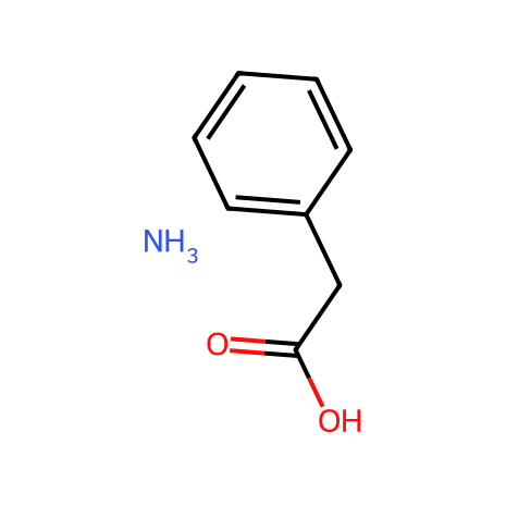 N.O=C(O)Cc1ccccc1